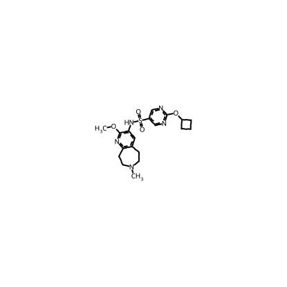 COc1nc2c(cc1NS(=O)(=O)c1cnc(OC3CCC3)nc1)CCN(C)CC2